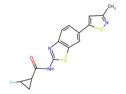 Cc1cc(-c2ccc3nc(NC(=O)C4CC4F)sc3c2)sn1